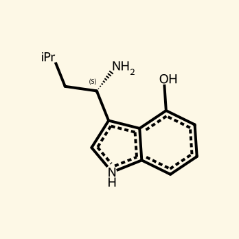 CC(C)C[C@H](N)c1c[nH]c2cccc(O)c12